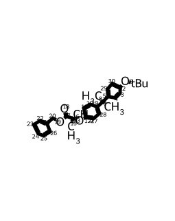 CC(C)(C)Oc1ccc(C(C)(C)c2ccc(OC(C)(C)C(=O)OCc3ccccc3)cc2)cc1